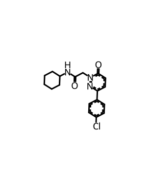 O=C(Cn1nc(-c2ccc(Cl)cc2)ccc1=O)NC1CCCCC1